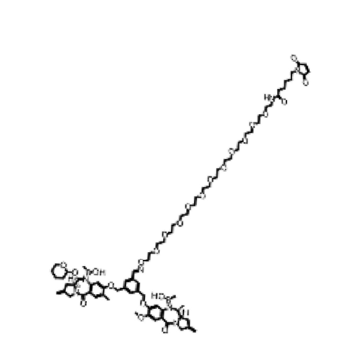 C=C1C[C@H]2[C@H](C)N(B(C)O)c3cc(OCc4cc(C=NOCCOCCOCCOCCOCCOCCOCCOCCOCCOCCOCCOCCNC(=O)CCCCCN5C(=O)C=CC5=O)cc(COc5cc6c(cc5C)C(=O)N5CC(=C)C[C@H]5[C@H](OC5CCCCO5)N6B(C)O)c4)c(OC)cc3C(=O)N2C1